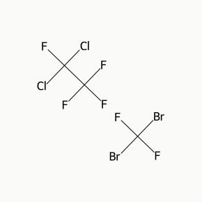 FC(F)(Br)Br.FC(F)(F)C(F)(Cl)Cl